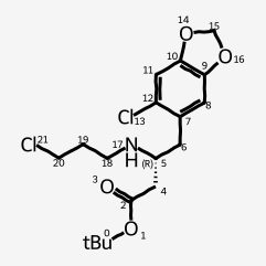 CC(C)(C)OC(=O)C[C@@H](Cc1cc2c(cc1Cl)OCO2)NCCCCl